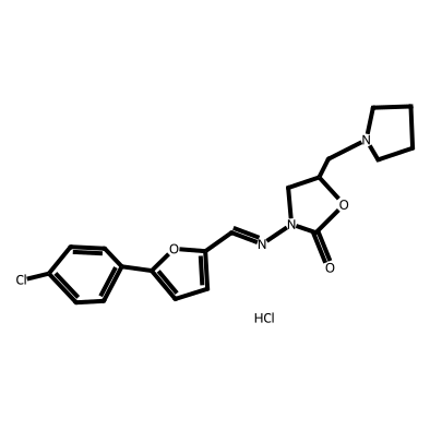 Cl.O=C1OC(CN2CCCC2)CN1N=Cc1ccc(-c2ccc(Cl)cc2)o1